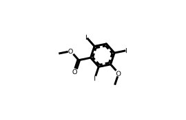 COC(=O)c1c(I)cc(I)c(OC)c1I